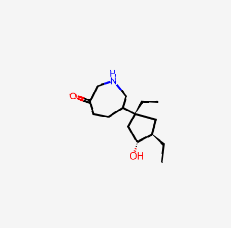 CC[C@@H]1C[C@@](CC)(C2CCC(=O)CNC2)C[C@H]1O